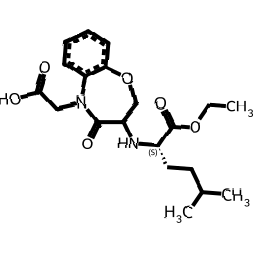 CCOC(=O)[C@H](CCC(C)C)NC1COc2ccccc2N(CC(=O)O)C1=O